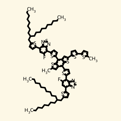 CCCCCCCCCCC(CCCCCCCC)Cc1ccc(-c2cc(F)c(-c3ccc(-c4c5cc(-c6ccc(-c7ccc(C)s7)s6)sc5c(-c5ccc(-c6c(F)cc(-c7ccc(CC(CCCCCCCC)CCCCCCCCCC)s7)c7nsnc67)s5)c5cc(C)sc45)s3)c3nsnc23)s1